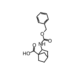 O=C(NC1CC2CCC1(C(=O)O)C2)OCc1ccccc1